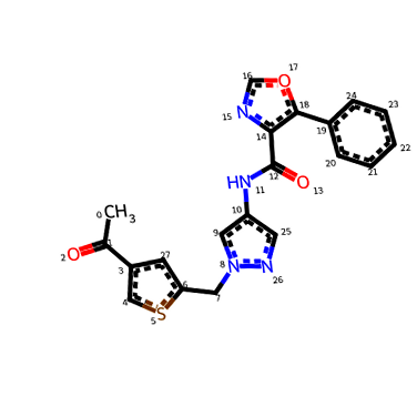 CC(=O)c1csc(Cn2cc(NC(=O)c3ncoc3-c3ccccc3)cn2)c1